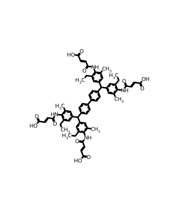 CCc1cc(C(c2ccc(-c3ccc(C(c4cc(C)c(NC(=O)/C=C/C(=O)O)c(CC)c4)c4cc(C)c(NC(=O)/C=C/C(=O)O)c(CC)c4)cc3)cc2)c2cc(C)c(NC(=O)/C=C/C(=O)O)c(CC)c2)cc(C)c1NC(=O)/C=C/C(=O)O